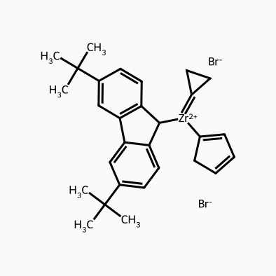 CC(C)(C)c1ccc2c(c1)-c1cc(C(C)(C)C)ccc1[CH]2[Zr+2]([C]1=CC=CC1)=[C]1CC1.[Br-].[Br-]